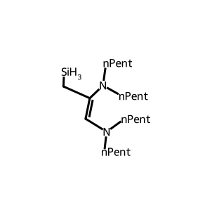 CCCCCN(C=C(C[SiH3])N(CCCCC)CCCCC)CCCCC